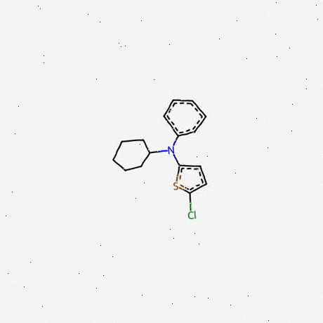 Clc1ccc(N(c2ccccc2)C2CCCCC2)s1